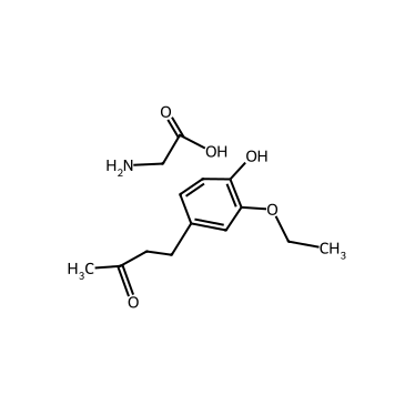 CCOc1cc(CCC(C)=O)ccc1O.NCC(=O)O